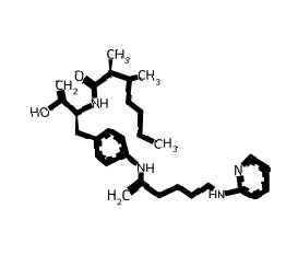 C=C(CCCCNc1ccccn1)Nc1ccc(C[C@H](NC(=O)[C@@H](C)C(C)CCCC)C(=C)O)cc1